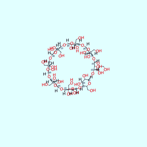 OCC1O[C@@H]2O[C@@H]3C(CO)O[C@H](O[C@@H]4C(O)[C@@H](OC(CO)[C@H]4O)O[C@@H]4C(CO)O[C@H](O[C@@H]5C(CO)O[C@H](O[C@@H]6C(CO)O[C@H](O[C@@H]7C(CO)O[C@H](O[C@@H]8C(CO)O[C@H](O[C@H]1C(O)[C@@H]2O)C(O)[C@H]8O)C(O)[C@H]7O)C(O)[C@H]6O)C(O)[C@H]5O)C(O)[C@H]4O)C(O)[C@H]3O